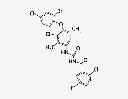 Cc1cc(NC(=O)NC(=O)c2cc(F)ccc2Cl)c(C)c(Cl)c1Oc1ccc(Cl)cc1Br